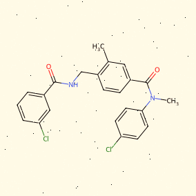 Cc1cc(C(=O)N(C)c2ccc(Cl)cc2)ccc1CNC(=O)c1cccc(Cl)c1